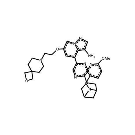 COc1ccc(CN2C3CC2CN(c2cnc(-c4cc(OCCN5CCC6(CC5)COC6)cn5ncc(N)c45)cn2)C3)cn1